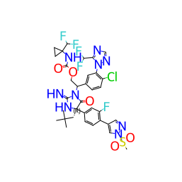 CC(C)(C)C[C@]1(c2ccc(-c3cnn(S(C)(=O)=O)c3)c(F)c2)NC(=N)N(C(COC(=O)NC2(C(F)F)CC2)c2ccc(Cl)c(-n3ncnc3C(F)F)c2)C1=O